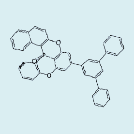 O=P12c3c(cc(-c4cc(-c5ccccc5)cc(-c5ccccc5)c4)cc3Oc3ccc4ccccc4c31)Oc1ccc3ccccc3c12